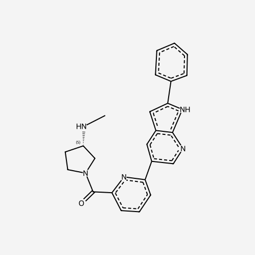 CN[C@H]1CCN(C(=O)c2cccc(-c3cnc4[nH]c(-c5ccccc5)cc4c3)n2)C1